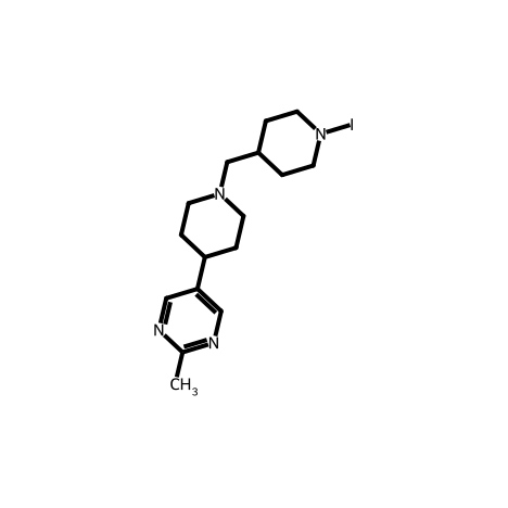 Cc1ncc(C2CCN(CC3CCN(I)CC3)CC2)cn1